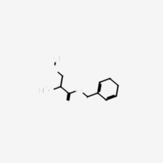 COCC(C)C(=O)OCC1=CCCC=C1